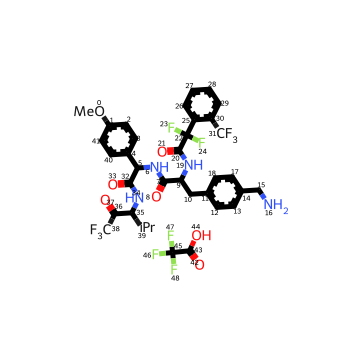 COc1ccc(C(NC(=O)C(Cc2ccc(CN)cc2)NC(=O)C(F)(F)c2ccccc2C(F)(F)F)C(=O)NC(C(=O)C(F)(F)F)C(C)C)cc1.O=C(O)C(F)(F)F